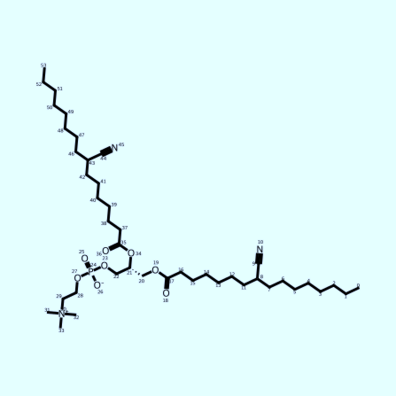 CCCCCCCCC(C#N)CCCCCCC(=O)OC[C@H](COP(=O)([O-])OCC[N+](C)(C)C)OC(=O)CCCCCCC(C#N)CCCCCCCC